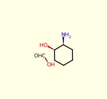 N[C@H]1CCCC[C@H]1O.O=CO